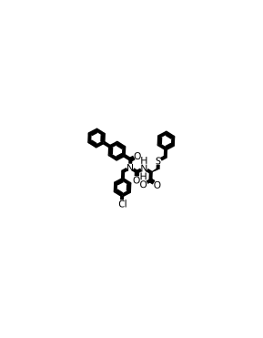 O=C(O)[C@H](CSCc1ccccc1)NC(=O)N(Cc1ccc(Cl)cc1)C(=O)c1ccc(-c2ccccc2)cc1